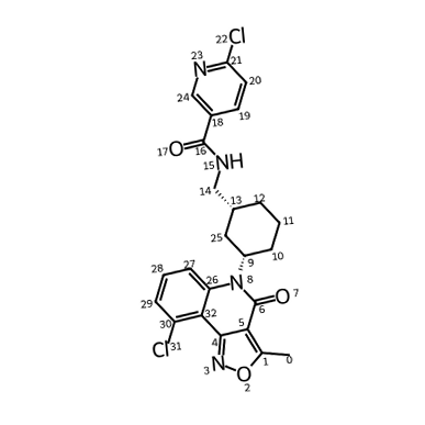 Cc1onc2c1c(=O)n([C@H]1CCC[C@@H](CNC(=O)c3ccc(Cl)nc3)C1)c1cccc(Cl)c21